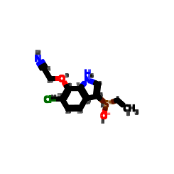 CC[S+]([O-])c1c[nH]c2c(OCC#N)c(Cl)ccc12